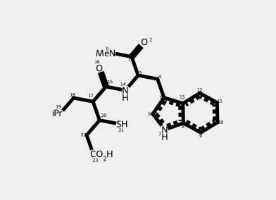 CNC(=O)C(Cc1c[nH]c2ccccc12)NC(=O)C(CC(C)C)C(S)CC(=O)O